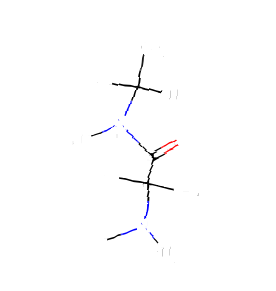 [2H]N([2H])C([2H])([2H])C(=O)N([2H])C([2H])([2H])C(=O)O